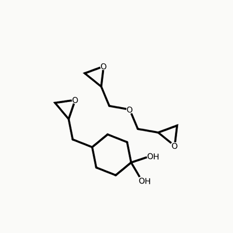 C(OCC1CO1)C1CO1.OC1(O)CCC(CC2CO2)CC1